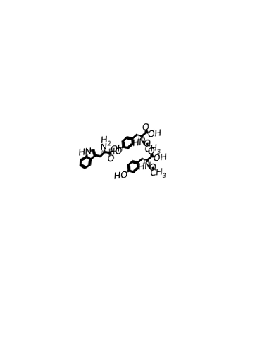 CON[C@@H](Cc1ccc(O)cc1)C(=O)O.CON[C@@H](Cc1ccc(O)cc1)C(=O)O.N[C@@H](Cc1c[nH]c2ccccc12)C(=O)O